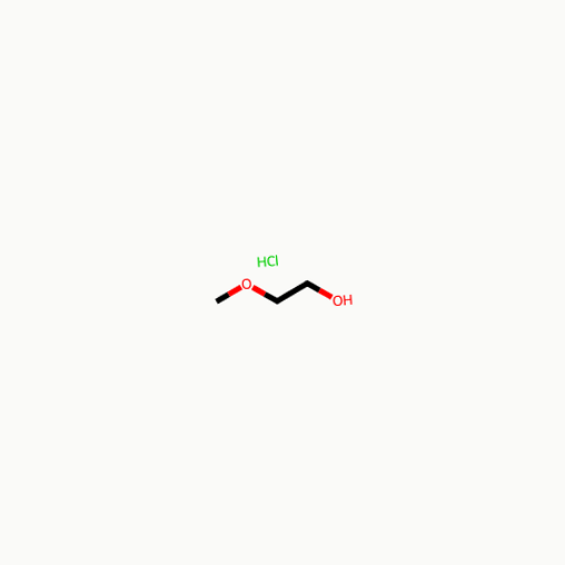 COCCO.Cl